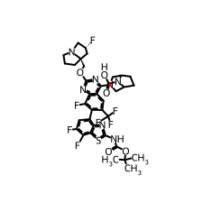 CC(C)(C)OC(=O)Nc1nc2c(-c3c(C(F)(F)F)cc4c(N5CC6CCC(C5)N6C(=O)O)nc(OC[C@@]56CCCN5C[C@H](F)C6)nc4c3F)cc(F)c(F)c2s1